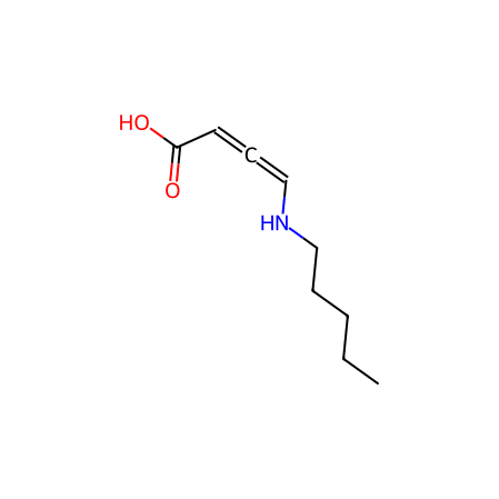 CCCCCNC=C=CC(=O)O